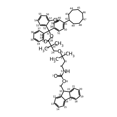 CC(C)(CCNC(=O)OCC1c2ccccc2-c2ccccc21)OCC(C)(C)C(=O)OC(c1ccccc1)(c1ccc(C2CCCCCCC2)cc1)c1ccccc1Cl